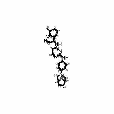 Cc1cccc2c(Nc3ccnc(Nc4ccc(N5CC6CCC(C5)N6C)cc4)n3)cnnc12